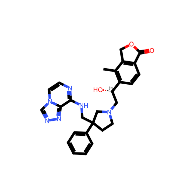 Cc1c([C@@H](O)CN2CCC(CNc3nccn4cnnc34)(c3ccccc3)C2)ccc2c1COC2=O